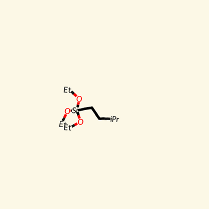 [CH2]C(C)CC[Si](OCC)(OCC)OCC